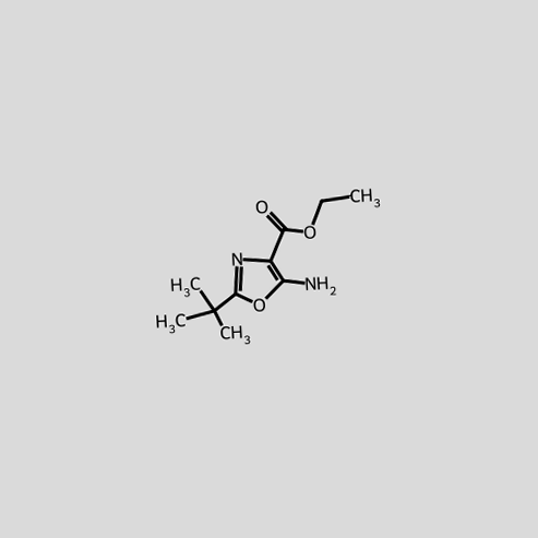 CCOC(=O)c1nc(C(C)(C)C)oc1N